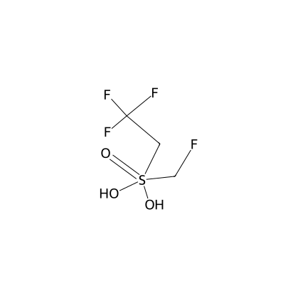 O=S(O)(O)(CF)CC(F)(F)F